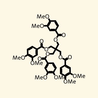 COc1ccc(C(=O)OCC(COC(=O)c2ccc(OC)c(OC)c2)(COC(=O)c2ccc(OC)c(OC)c2)COC(=O)c2ccc(OC)c(OC)c2)cc1OC